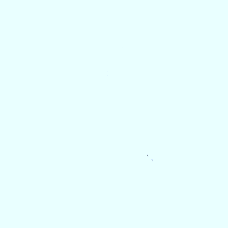 Cc1scnc1/C=C/C(=O)C(C)C